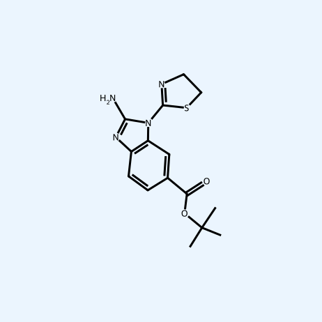 CC(C)(C)OC(=O)c1ccc2nc(N)n(C3=NCCS3)c2c1